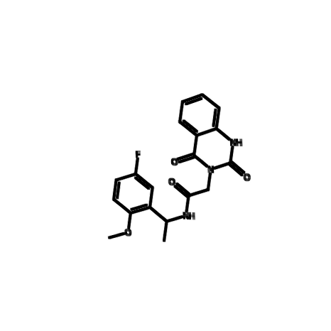 COc1ccc(F)cc1C(C)NC(=O)Cn1c(=O)[nH]c2ccccc2c1=O